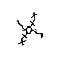 C=CCOc1cc(C(C)(C)CC(C)(C)C)c(OCC=C)cc1C(C)(C)CC(C)(C)C